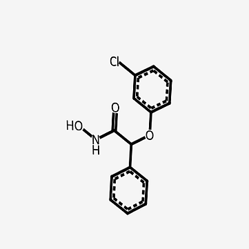 O=C(NO)C(Oc1cccc(Cl)c1)c1ccccc1